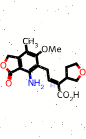 COc1c(C)c2c(c(N)c1C/C=C(/C(=O)O)C1CCOC1)C(=O)OC2